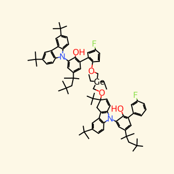 C[CH2][Ge]([CH2]C)([CH2]Oc1ccc(F)cc1-c1cc(C(C)(C)CC(C)(C)C)cc(-n2c3ccc(C(C)(C)C)cc3c3cc(C(C)(C)C)ccc32)c1O)[CH2]OC1(C(C)(C)C)C=Cc2c(c3cc(C(C)(C)C)ccc3n2-c2cc(C(C)(C)CC(C)(C)C)cc(-c3cccc(F)c3)c2O)C1